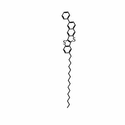 CCCCCCCCCCCCCCCCc1ccc2sc3c4cc5cc(-c6ccccc6)ccc5cc4sc3c2c1